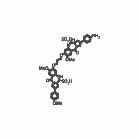 COc1ccc(C2=CN3C(=O)c4cc(OC)c(OCCCOc5cc6c(cc5OC)C(=O)N5C=C(c7ccc(N)cc7)C[C@H]5C(S(=O)(=O)O)=N6)cc4N[C@@H](S(=O)(=O)O)C3C2)cc1